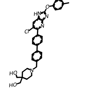 Cc1ccc(Oc2nc3nc(-c4ccc(-c5ccc(CN6CCC(CO)(CO)CC6)cc5)cc4)c(Cl)cc3[nH]2)cc1C(=O)O